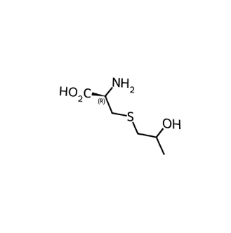 CC(O)CSC[C@H](N)C(=O)O